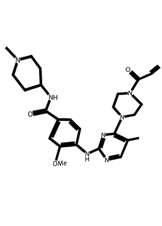 C=CC(=O)N1CCN(c2nc(Nc3ccc(C(=O)NC4CCN(C)CC4)cc3OC)ncc2C)CC1